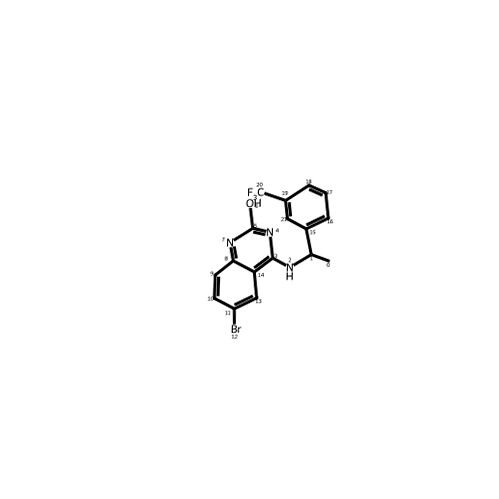 CC(Nc1nc(O)nc2ccc(Br)cc12)c1cccc(C(F)(F)F)c1